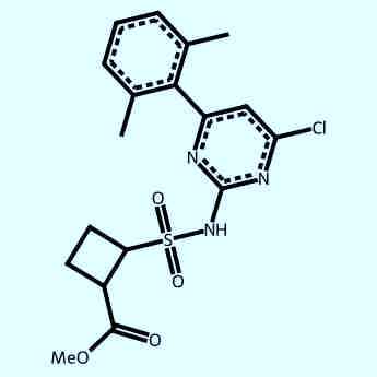 COC(=O)C1CCC1S(=O)(=O)Nc1nc(Cl)cc(-c2c(C)cccc2C)n1